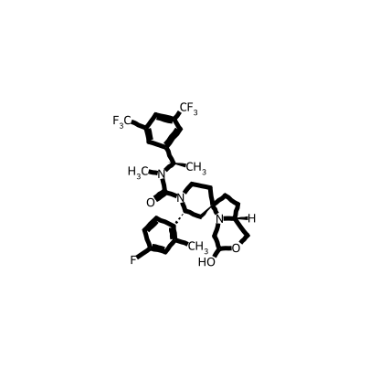 Cc1cc(F)ccc1[C@H]1C[C@]2(CC[C@@H]3COC(O)CN32)CCN1C(=O)N(C)[C@H](C)c1cc(C(F)(F)F)cc(C(F)(F)F)c1